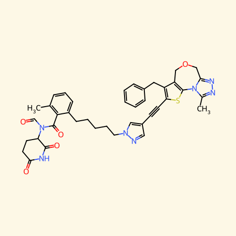 Cc1cccc(CCCCCn2cc(C#Cc3sc4c(c3Cc3ccccc3)COCc3nnc(C)n3-4)cn2)c1C(=O)N(C=O)C1CCC(=O)NC1=O